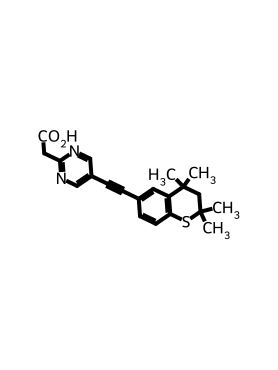 CC1(C)CC(C)(C)c2cc(C#Cc3cnc(CC(=O)O)nc3)ccc2S1